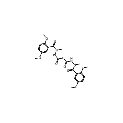 COc1ccc(OC)c(C(=S)N(C)NC(=O)OC(=O)NN(C)C(=S)c2cc(OC)ccc2OC)c1